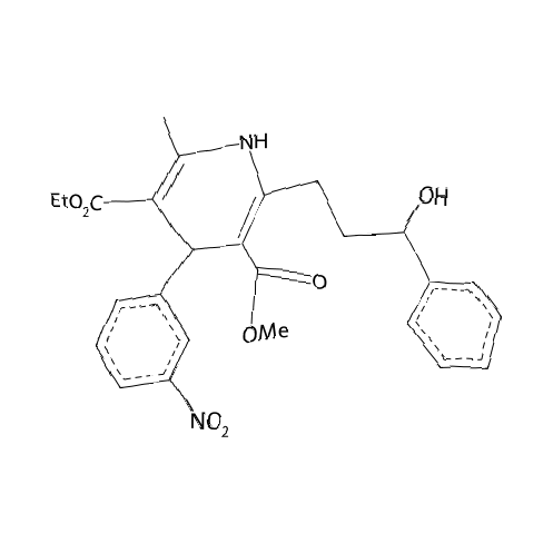 CCOC(=O)C1=C(C)NC(CCC(O)c2ccccc2)=C(C(=O)OC)C1c1cccc([N+](=O)[O-])c1